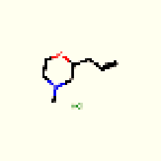 C=CCC1CN(C)CCO1.Cl